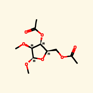 CO[C@H]1O[C@H](COC(C)=O)[C@@H](OC(C)=O)[C@@H]1OC